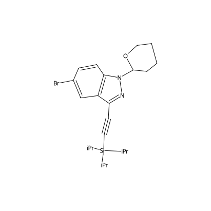 CC(C)[Si](C#Cc1nn(C2CCCCO2)c2ccc(Br)cc12)(C(C)C)C(C)C